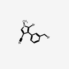 Cn1cc(C#N)c(-c2cccc(CBr)c2)c1Br